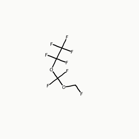 FCOC(F)(F)OC(F)(F)C(F)(F)F